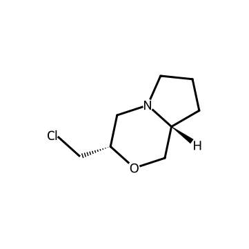 ClC[C@@H]1CN2CCC[C@@H]2CO1